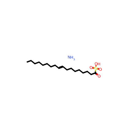 CCCCCCCCC=CCCCCCCCC(=O)S(=O)(=O)O.N